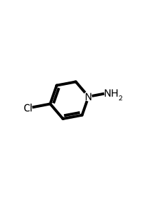 NN1C=CC(Cl)=CC1